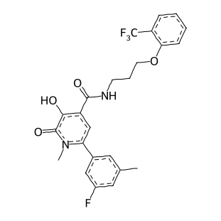 Cc1cc(F)cc(-c2cc(C(=O)NCCCOc3ccccc3C(F)(F)F)c(O)c(=O)n2C)c1